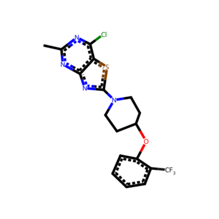 Cc1nc(Cl)c2sc(N3CCC(Oc4ccccc4C(F)(F)F)CC3)nc2n1